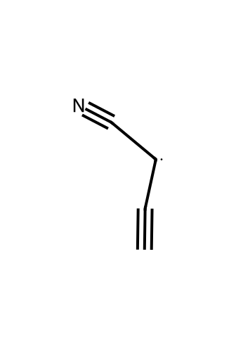 C#C[CH]C#N